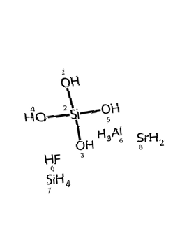 F.O[Si](O)(O)O.[AlH3].[SiH4].[SrH2]